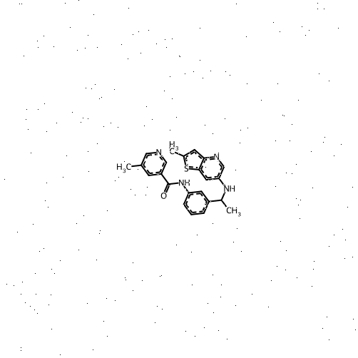 Cc1cncc(C(=O)Nc2cccc(C(C)Nc3cnc4cc(C)sc4c3)c2)c1